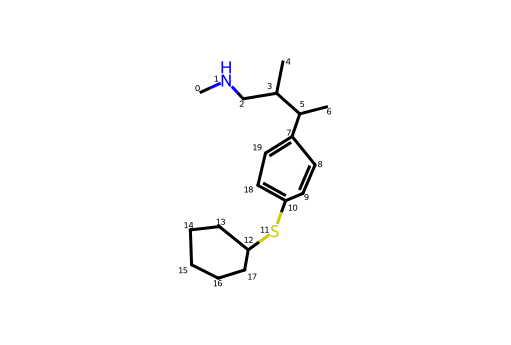 CNCC(C)C(C)c1ccc(SC2CCCCC2)cc1